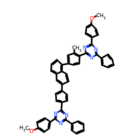 COc1ccc(-c2nc(-c3ccccc3)nc(-c3ccc(-c4ccc5c(-c6ccc(-c7nc(-c8ccccc8)nc(-c8ccc(OC)cc8)n7)c(C)c6)cccc5c4)cc3)n2)cc1